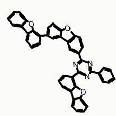 c1ccc(-c2nc(-c3ccc4oc5ccc(-c6cccc7c6oc6ccccc67)cc5c4c3)nc(-c3cccc4c3oc3ccccc34)n2)cc1